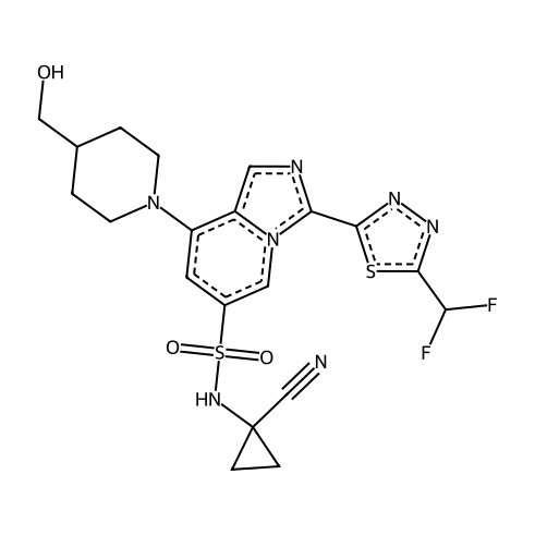 N#CC1(NS(=O)(=O)c2cc(N3CCC(CO)CC3)c3cnc(-c4nnc(C(F)F)s4)n3c2)CC1